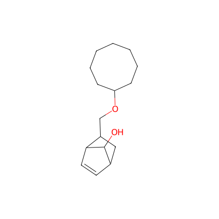 OC1C2C=CC1C(COC1CCCCCCC1)C2